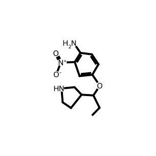 CCC(Oc1ccc(N)c([N+](=O)[O-])c1)C1CCNC1